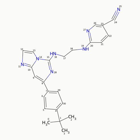 CC(C)(C)c1ccc(-c2cc3nccn3c(NCCNc3ccc(C#N)cn3)n2)cc1